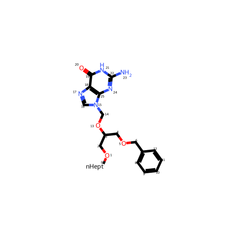 CCCCCCCOCC(COCc1ccccc1)OCn1cnc2c(=O)[nH]c(N)nc21